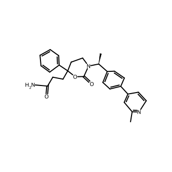 Cc1cc(-c2ccc([C@H](C)N3CCC(CCC(N)=O)(c4ccccc4)OC3=O)cc2)ccn1